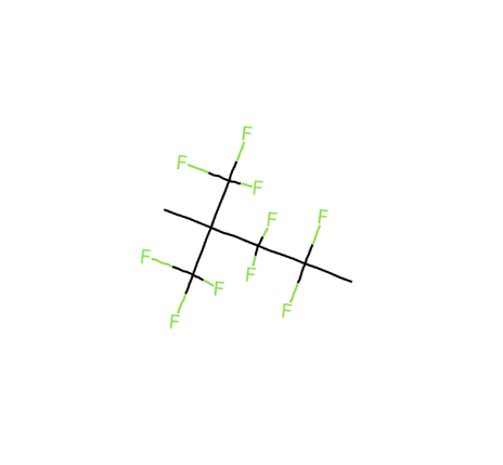 CC(F)(F)C(F)(F)C(C)(C(F)(F)F)C(F)(F)F